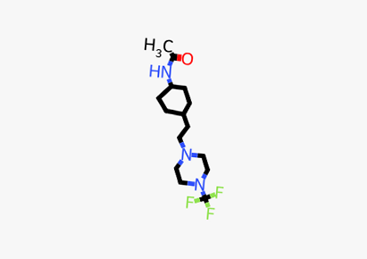 CC(=O)NC1CCC(CCN2CCN(C(F)(F)F)CC2)CC1